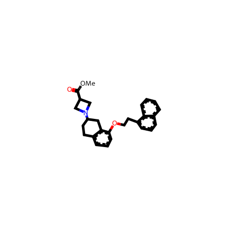 COC(=O)C1CN(C2CCc3cccc(OCCc4cccc5ccccc45)c3C2)C1